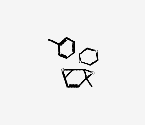 C1COCCO1.CC12C=CC3OC3C1O2.Cc1ccccc1